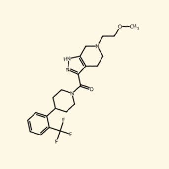 COCCN1CCc2c(C(=O)N3CCC(c4ccccc4C(F)(F)F)CC3)n[nH]c2C1